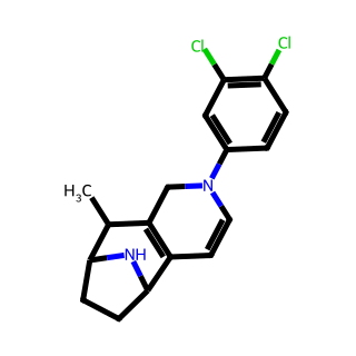 CC1C2=C(C=CN(c3ccc(Cl)c(Cl)c3)C2)C2CCC1N2